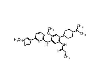 C=CC(=O)Nc1cc(Nc2nccc(-c3cnn(C)c3)n2)c(OC)cc1N1CCC(N(C)C)CC1